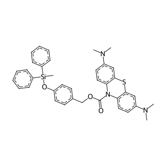 CN(C)c1ccc2c(c1)Sc1cc(N(C)C)ccc1N2C(=O)OCc1ccc(O[Si](C)(c2ccccc2)c2ccccc2)cc1